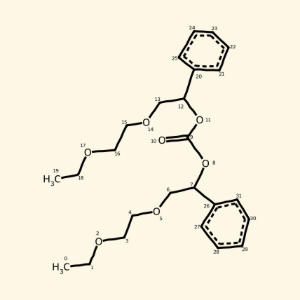 CCOCCOCC(OC(=O)OC(COCCOCC)c1ccccc1)c1ccccc1